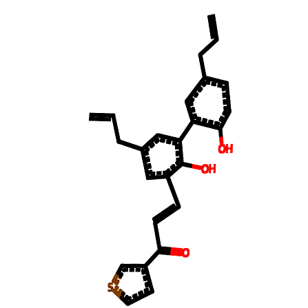 C=CCc1ccc(O)c(-c2cc(CC=C)cc(C=CC(=O)c3ccsc3)c2O)c1